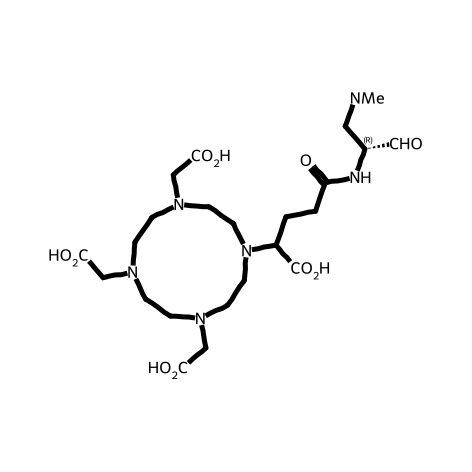 CNC[C@H](C=O)NC(=O)CCC(C(=O)O)N1CCN(CC(=O)O)CCN(CC(=O)O)CCN(CC(=O)O)CC1